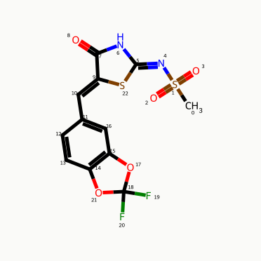 CS(=O)(=O)N=C1NC(=O)C(=Cc2ccc3c(c2)OC(F)(F)O3)S1